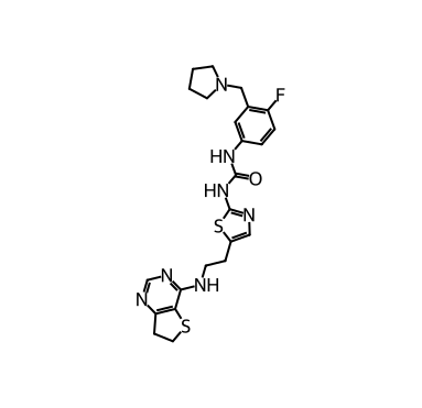 O=C(Nc1ccc(F)c(CN2CCCC2)c1)Nc1ncc(CCNc2ncnc3c2SCC3)s1